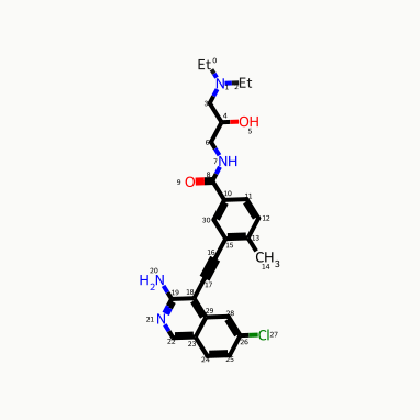 CCN(CC)CC(O)CNC(=O)c1ccc(C)c(C#Cc2c(N)ncc3ccc(Cl)cc23)c1